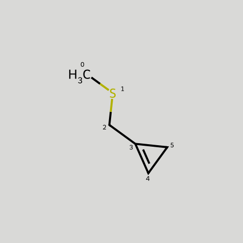 CSCC1=CC1